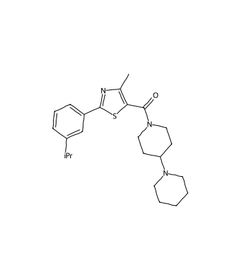 Cc1nc(-c2cccc(C(C)C)c2)sc1C(=O)N1CCC(N2CCCCC2)CC1